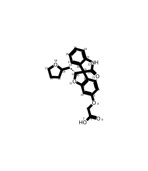 O=C(O)COc1ccc2c(c1)O[C@H](CC1CCCO1)C21C(=O)Nc2ccccc21